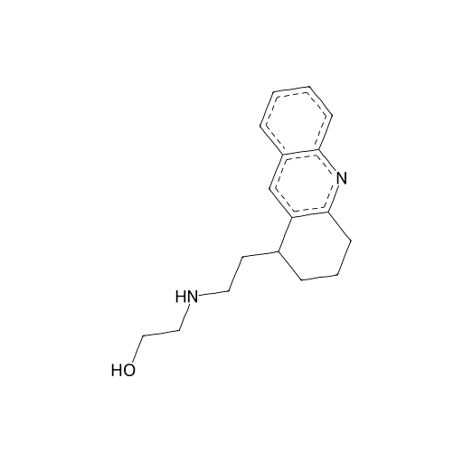 OCCNCCC1CCCc2nc3ccccc3cc21